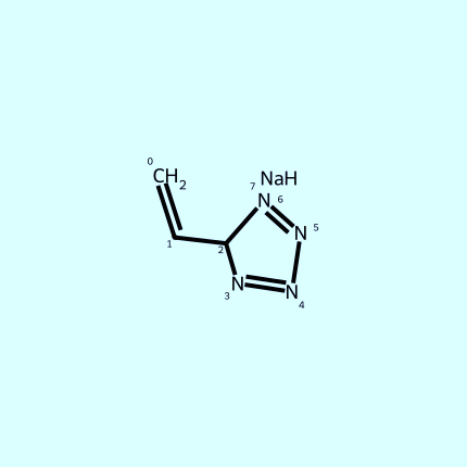 C=CC1N=NN=N1.[NaH]